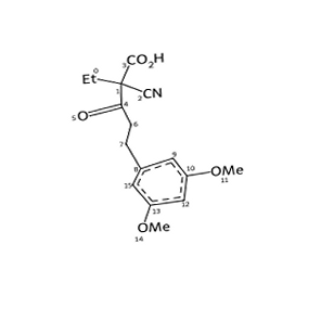 CCC(C#N)(C(=O)O)C(=O)CCc1cc(OC)cc(OC)c1